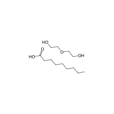 CCCCCCCCC(=O)O.OCCOCCO